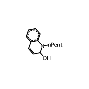 CCCCCN1c2ccccc2C=CC1O